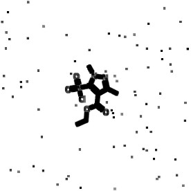 CCOC(=O)c1c(C)nn(C)c1S(=O)(=O)Cl